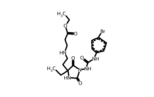 CCOC(=O)CCNCCC1(CC)NC(=O)N(NC(=O)Nc2ccc(Br)cc2)C1=O